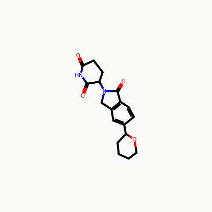 O=C1CCC(N2Cc3cc(C4CCCCO4)ccc3C2=O)C(=O)N1